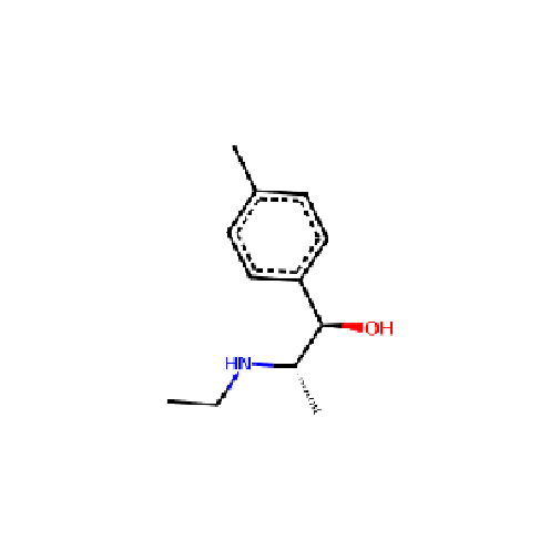 CCN[C@@H](C)[C@H](O)c1ccc(C)cc1